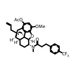 C=CCN1CC[C@]23c4c5c(OC(C)=O)cc(OC)c4O[C@H]2[C@H](N(C)C(=O)CCc2ccc(C(F)(F)F)cc2)CC[C@H]3[C@H]1C5